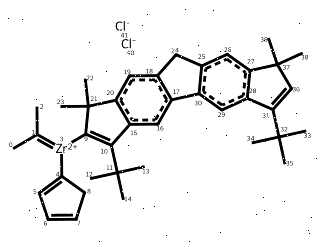 C[C](C)=[Zr+2]([C]1=CC=CC1)[C]1=C(C(C)(C)C)c2cc3c(cc2C1(C)C)Cc1cc2c(cc1-3)C(C(C)(C)C)=CC2(C)C.[Cl-].[Cl-]